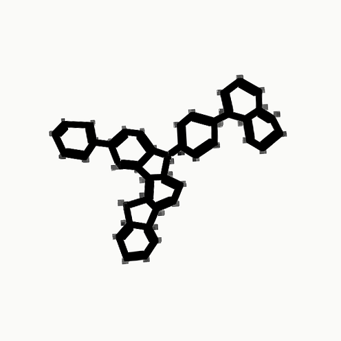 c1ccc(-c2ccc3c(n2)c2c4sc5ccccc5c4ccc2n3-c2ccc(-c3cccc4ccccc34)cc2)cc1